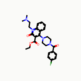 CCOC(=O)c1c(N2CCN(C(=O)c3ccc(F)cc3)CC2)c2ccccc2n(CCN(C)C)c1=O